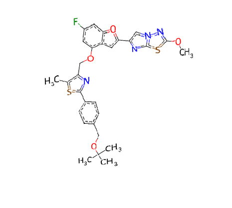 COc1nn2cc(-c3cc4c(OCc5nc(-c6ccc(COC(C)(C)C)cc6)sc5C)cc(F)cc4o3)nc2s1